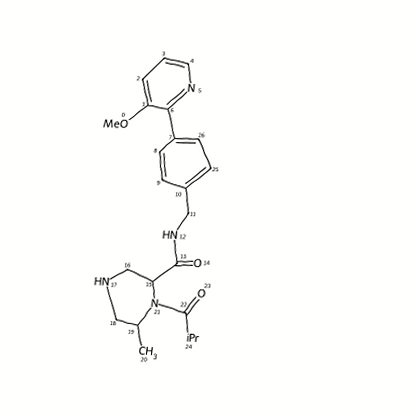 COc1cccnc1-c1ccc(CNC(=O)C2CNCC(C)N2C(=O)C(C)C)cc1